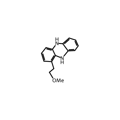 COCCc1cccc2c1Nc1ccccc1N2